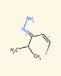 CC(C)C(/C=C\I)=N/N